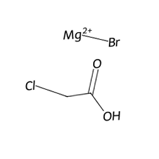 O=C(O)CCl.[Mg+2][Br]